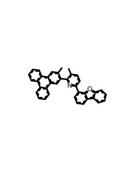 Cc1cc2c3ccccc3c3ccccc3c2cc1-c1nc(-c2cccc3c2oc2ccccc23)ccc1C